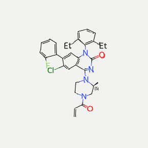 C=CC(=O)N1CCN(c2nc(=O)n(-c3c(CC)cccc3CC)c3cc(-c4ccccc4F)c(Cl)cc23)[C@@H](C)C1